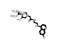 CCOC(=O)CN(CC(=O)NCCNc1ccnc2cc(Cl)ccc12)CC(C)NC(C(=O)OCC)C(=O)OCC